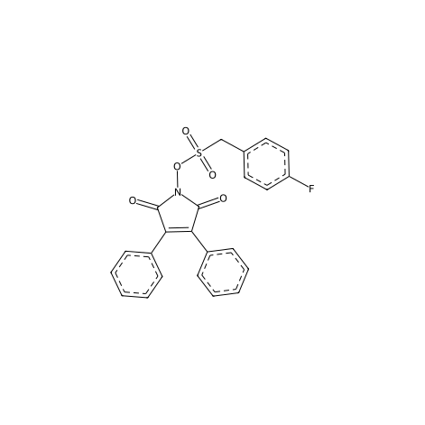 O=C1C(c2ccccc2)=C(c2ccccc2)C(=O)N1OS(=O)(=O)Cc1ccc(F)cc1